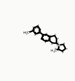 Cc1cccc(-c2ccc3c(c2)CCC(N2CCCC2C)C3)c1